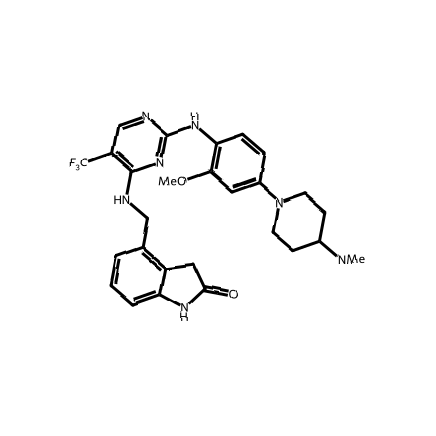 CNC1CCN(c2ccc(Nc3ncc(C(F)(F)F)c(NCc4cccc5c4CC(=O)N5)n3)c(OC)c2)CC1